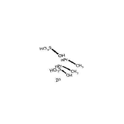 CCCC.CCCC.O=S(=O)(O)O.O=S(=O)(O)O.[Zn]